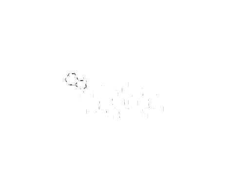 OCC(O)C(OC1OC(CO)C(OC2OC(CO)C(O)C(O)C2O)C(O)C1O)C(O)[C@H](O)c1nc2cc(F)ccc2[nH]1